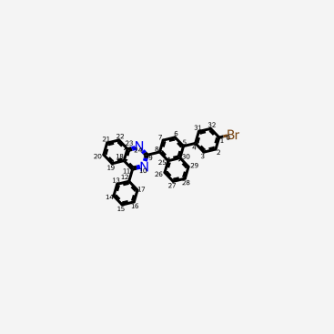 Brc1ccc(-c2ccc(-c3nc(-c4ccccc4)c4ccccc4n3)c3ccccc23)cc1